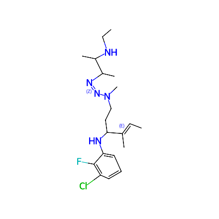 C/C=C(\C)C(CCN(C)/N=N\C(C)C(C)NCC)Nc1cccc(Cl)c1F